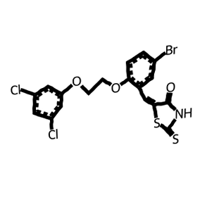 O=C1NC(=S)SC1=Cc1cc(Br)ccc1OCCOc1cc(Cl)cc(Cl)c1